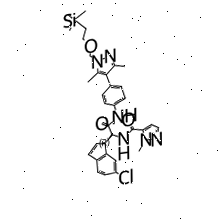 Cc1nn(COCC[Si](C)(C)C)c(C)c1-c1ccc(NC(=O)C(NC(=O)c2ccnn2C)[C@@H]2C=Cc3ccc(Cl)cc32)cc1